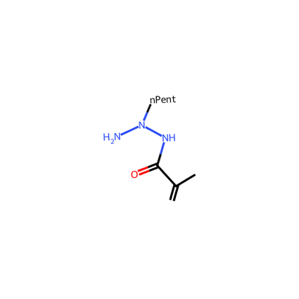 C=C(C)C(=O)NN(N)CCCCC